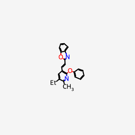 CCc1cc(C=Cc2nc3ccccc3o2)c(Oc2ccccc2)nc1C